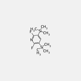 C[Si](C)(C)c1cc([Si](C)(C)C)c(F)nc1F